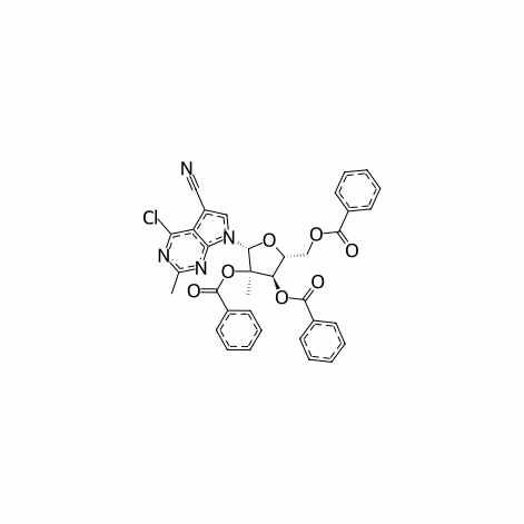 Cc1nc(Cl)c2c(C#N)cn([C@@H]3O[C@H](COC(=O)c4ccccc4)[C@@H](OC(=O)c4ccccc4)[C@@]3(C)OC(=O)c3ccccc3)c2n1